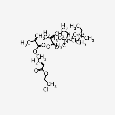 C=C(C)C(=O)OC.C=C(C)C(=O)[O-].C=CC(=O)OCC.CC[N+](C)(C)C.CC[N+](C)(C)C.[Cl-]